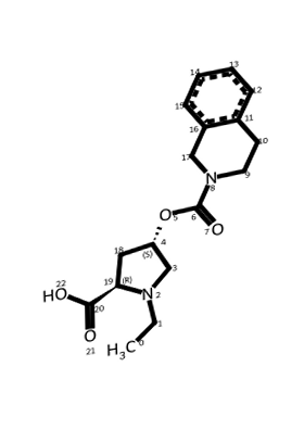 CCN1C[C@@H](OC(=O)N2CCc3ccccc3C2)C[C@@H]1C(=O)O